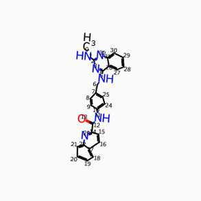 CNc1nc(NCc2ccc(NC(=O)c3ccc4ccccc4n3)cc2)c2ccccc2n1